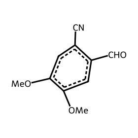 COc1cc(C#N)c(C=O)cc1OC